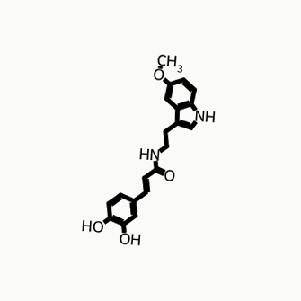 COc1ccc2[nH]cc(CCNC(=O)C=Cc3ccc(O)c(O)c3)c2c1